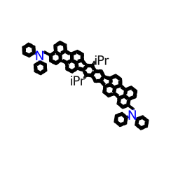 CC(C)c1c2cc3c(cc2c(C(C)C)c2c4ccc5c6ccc(CN(c7ccccc7)c7ccccc7)c7cccc(c8ccc(c12)c4c85)c76)c1ccc2c4ccc(CN(c5ccccc5)c5ccccc5)c5cccc(c6ccc3c1c62)c54